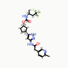 Cc1ccc(CC(=O)Nc2cc([C@H]3CC[C@@H](OC(=O)NC(C)CC(F)(F)F)C3)[nH]n2)cn1